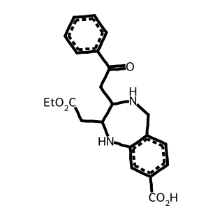 CCOC(=O)CC1Nc2cc(C(=O)O)ccc2CNC1CC(=O)c1ccccc1